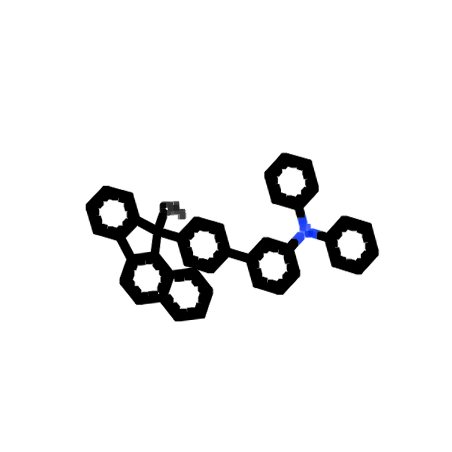 CC1(c2ccc(-c3cccc(N(c4ccccc4)c4ccccc4)c3)cc2)c2ccccc2-c2ccc3ccccc3c21